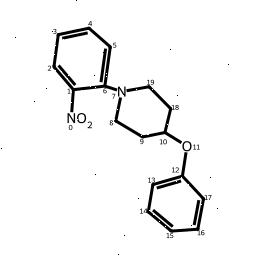 O=[N+]([O-])c1ccccc1N1CCC(Oc2ccccc2)CC1